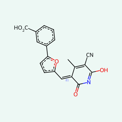 CC1=C(C#N)C(O)=NC(=O)/C1=C/c1ccc(-c2cccc(C(=O)O)c2)o1